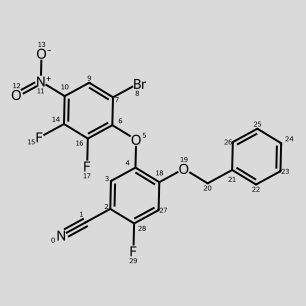 N#Cc1cc(Oc2c(Br)cc([N+](=O)[O-])c(F)c2F)c(OCc2ccccc2)cc1F